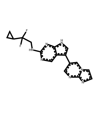 FC(F)(CNc1ncc2c(-c3cnc4nccn4c3)c[nH]c2n1)C1CC1